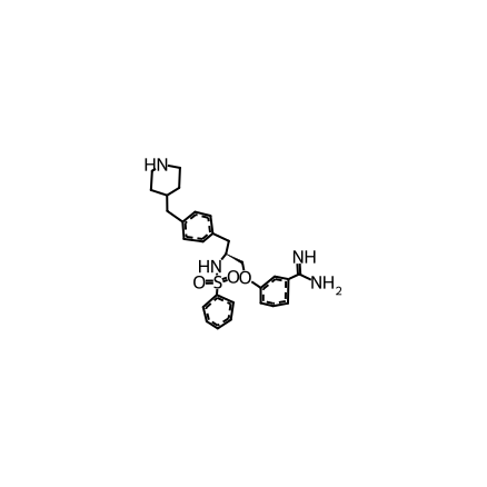 N=C(N)c1cccc(OC[C@H](Cc2ccc(CC3CCNCC3)cc2)NS(=O)(=O)c2ccccc2)c1